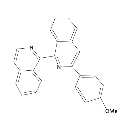 COc1ccc(-c2cc3ccccc3c(-c3nccc4ccccc34)n2)cc1